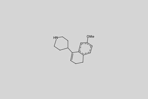 COc1ccc2c(c1)C(C1CCNCC1)=CCC2